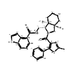 Cc1nc(C(=O)N2C[C@H]3CCCC[C@@H]3[C@H]2CNC(=O)c2cccc3occc23)c(-c2ccccc2)s1